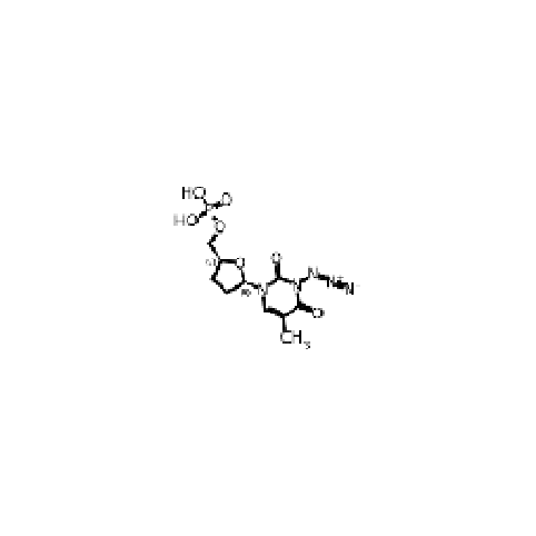 Cc1cn([C@H]2CC[C@@H](COP(=O)(O)O)O2)c(=O)n(N=[N+]=[N-])c1=O